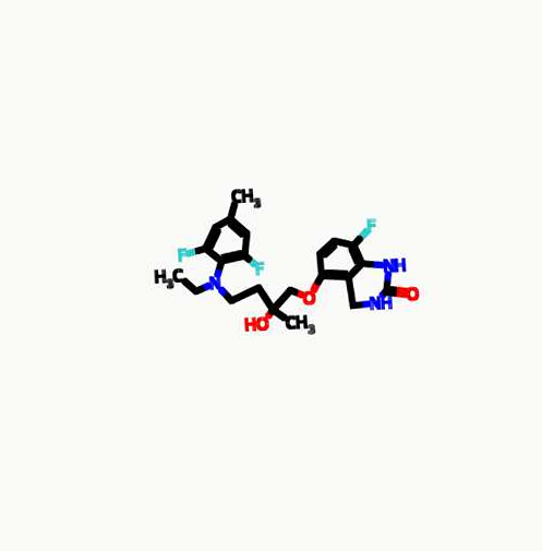 CCN(CCC(C)(O)COc1ccc(F)c2c1CNC(=O)N2)c1c(F)cc(C)cc1F